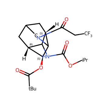 CC(C)OC(=O)NC1[C@@H]2CC3C[C@H]1[C@H](OC(=O)C(C)(C)C)C2N(C(=O)CC(F)(F)F)C3